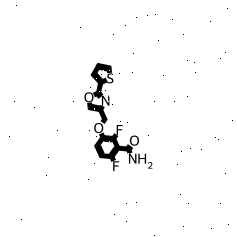 NC(=O)c1c(F)ccc(OCc2coc(-c3cccs3)n2)c1F